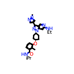 CCNc1cc2c(cn1)c(-c1cnn(C)c1)nn2[C@H]1CC[C@@H](Oc2cccc(C(=O)NC(C)C)c2C)CC1